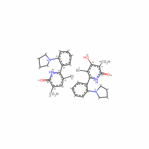 CCc1c(-c2ccccc2N2CCCC2)[nH]c(=O)c(C(=O)O)c1O.CCc1cc(C(=O)O)c(=O)[nH]c1-c1ccccc1N1CCCC1